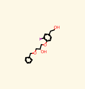 OCCc1ccc(OC[C@H](O)COCc2ccccc2)c(I)c1